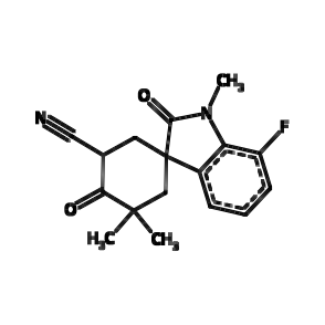 CN1C(=O)C2(CC(C#N)C(=O)C(C)(C)C2)c2cccc(F)c21